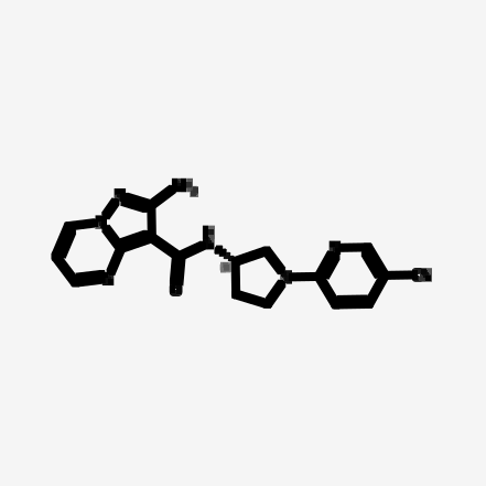 N#Cc1ccc(N2CC[C@H](NC(=O)c3c(N)nn4cccnc34)C2)nc1